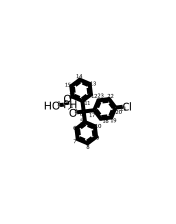 O=[PH](O)OC(c1ccccc1)(c1ccccc1)c1ccc(Cl)cc1